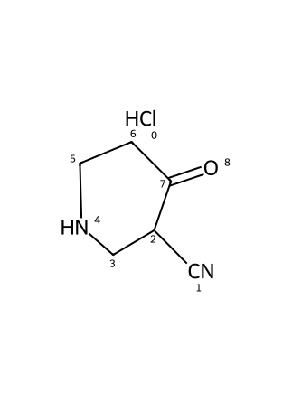 Cl.N#CC1CNCCC1=O